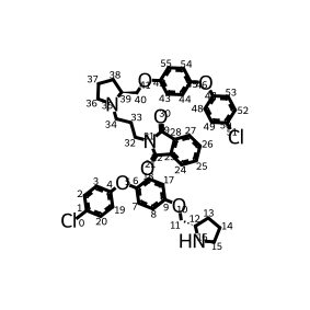 Clc1ccc(Oc2ccc(OC[C@@H]3CCCN3)cc2)cc1.O=C1c2ccccc2C(=O)N1CCCN1CCC[C@H]1COc1ccc(Oc2ccc(Cl)cc2)cc1